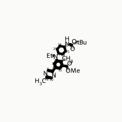 CCN(c1cc(-c2cnc(C)cn2)cc(C(=O)OC)c1C)[C@H]1CC[C@H](NC(=O)OC(C)(C)C)CC1